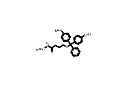 CCCCCCCNC(=O)CCCOC(c1ccccc1)(c1ccc(OC)cc1)c1ccc(OC)cc1